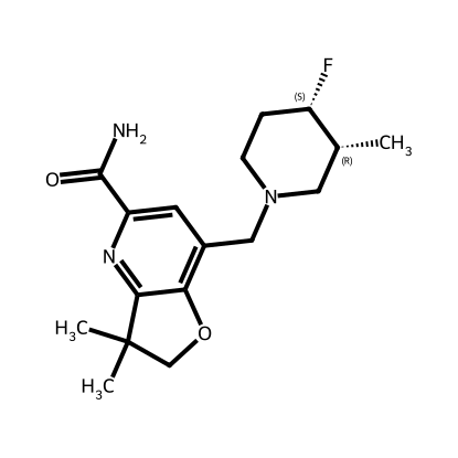 C[C@@H]1CN(Cc2cc(C(N)=O)nc3c2OCC3(C)C)CC[C@@H]1F